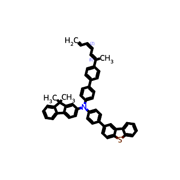 C=C/C=C\C=C(/C)c1ccc(-c2ccc(N(c3ccc(-c4ccc5sc6ccccc6c5c4)cc3)c3ccc4c(c3)C(C)(C)c3ccccc3-4)cc2)cc1